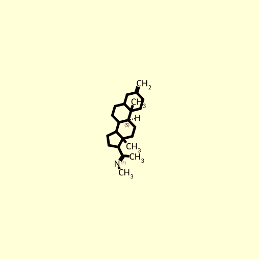 C=C1CCC2(C)C(CCC3C4CCC(/C(C)=N/C)C4(C)CC[C@@H]32)C1